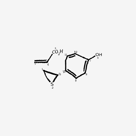 C1CS1.C=CC(=O)O.Oc1ccccc1